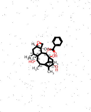 CC(=O)O[C@@]12CO[C@@H]1C[C@H](C)[C@]1(C)C2[C@H](OC(=O)c2ccccc2)[C@]2(O)C[C@H](O)C(C)=C([C@@H](C)[C@@H]1O)C2(C)C